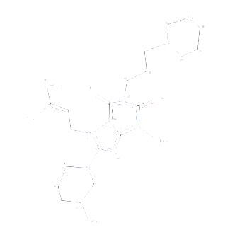 CC(C)=CCn1c(N2CCCC(N)C2)nc2c1c(=O)n(CCCN1CCCCC1)c(=O)n2C